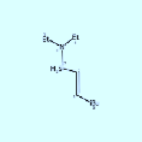 CCC(C)C=C[SiH2]N(CC)CC